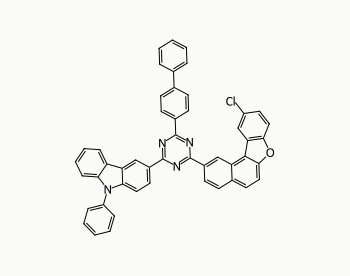 Clc1ccc2oc3ccc4ccc(-c5nc(-c6ccc(-c7ccccc7)cc6)nc(-c6ccc7c(c6)c6ccccc6n7-c6ccccc6)n5)cc4c3c2c1